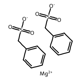 O=S(=O)([O-])Cc1ccccc1.O=S(=O)([O-])Cc1ccccc1.[Mg+2]